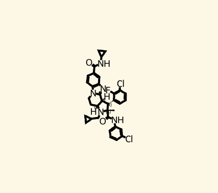 C[C@]1(C(=O)Nc2cccc(Cl)c2)[C@@H](c2cccc(Cl)c2F)[C@@H]2c3nc4cc(C(=O)NC5CC5)ccc4n3CC[C@@H]2N1CC1CC1